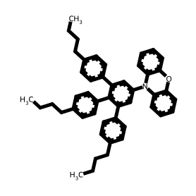 CCCCc1ccc(-c2cc(N3c4ccccc4Oc4ccccc43)cc(-c3ccc(CCCC)cc3)c2-c2ccc(CCCC)cc2)cc1